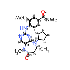 CNC(=O)c1ccc(Nc2ncc3c(n2)N(C2CCCC2)[C@H](C)CC(=O)N3C)c(OC)c1